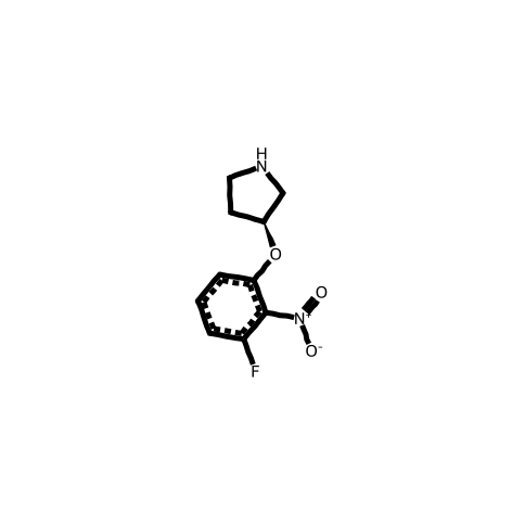 O=[N+]([O-])c1c(F)cccc1O[C@H]1CCNC1